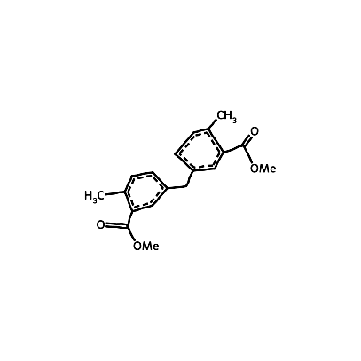 COC(=O)c1cc(Cc2ccc(C)c(C(=O)OC)c2)ccc1C